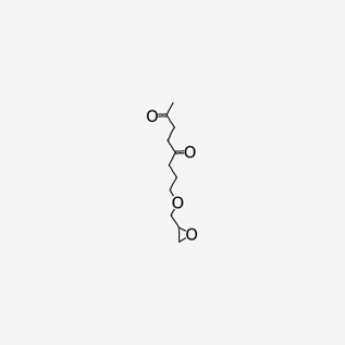 CC(=O)CCC(=O)CCCOCC1CO1